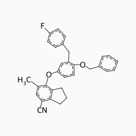 Cc1cc(C#N)c2c(c1Oc1ccc(OCc3ccccc3)c(Cc3ccc(F)cc3)c1)CCC2